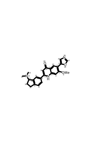 COc1cc2[nH]c(-c3ccc4c(c3)C(N(C)C)CC4)cc(=O)c2cc1-c1cnco1